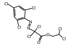 O=C(OCC(Cl)Cl)C(Cl)(Cl)N=Nc1c(Cl)cc(Cl)cc1Cl